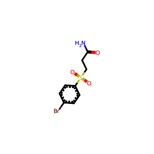 NC(=O)CCS(=O)(=O)c1ccc(Br)cc1